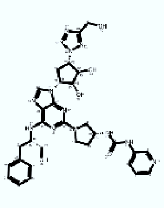 O=C(Nc1cccnc1)N[C@@H]1CCN(c2nc(N[C@H](CO)Cc3ccccc3)c3ncn([C@@H]4C[C@H](n5nnc(CO)n5)[C@@H](O)[C@H]4O)c3n2)C1